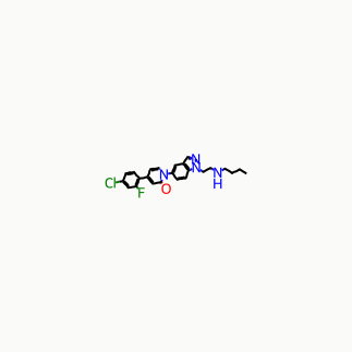 CCCCNCCn1ncc2cc(-n3ccc(-c4ccc(Cl)cc4F)cc3=O)ccc21